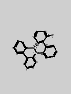 OB1c2ccccc2-c2ccccc2N1c1ccccc1-c1ccccc1Br